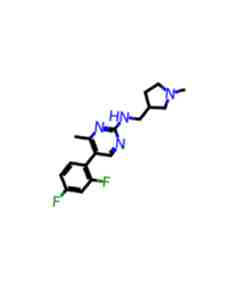 Cc1nc(NCC2CCN(C)C2)ncc1-c1ccc(F)cc1F